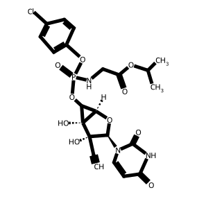 C#C[C@]1(O)[C@H](n2ccc(=O)[nH]c2=O)O[C@@H]2C(OP(=O)(NCC(=O)OC(C)C)Oc3ccc(Cl)cc3)[C@@]21O